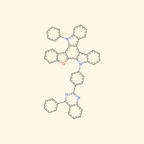 c1ccc(-c2nc(-c3ccc(-n4c5ccccc5c5c6c7ccccc7n(-c7ccccc7)c6c6c7ccccc7oc6c54)cc3)nc3ccccc23)cc1